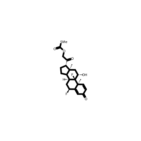 CSC(=O)OCC(=O)[C@H]1CCC2[C@@H]3C[C@H](F)C4=CC(=O)C=C[C@]4(C)[C@@]3(F)[C@@H](O)C[C@@]21C